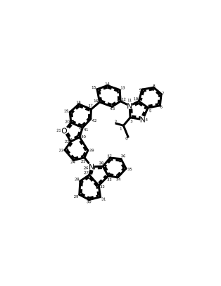 CC(C)c1nc2ccccc2n1-c1cccc(-c2ccc3oc4ccc(-n5c6ccccc6c6ccccc65)cc4c3c2)c1